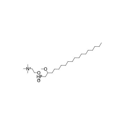 CCCCCCCCCCCCCCCCC(C[PH](=O)OCC[N+](C)(C)C)OC